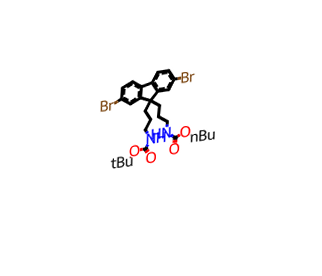 CCCCOC(=O)NCCCC1(CCCNC(=O)OC(C)(C)C)c2cc(Br)ccc2-c2ccc(Br)cc21